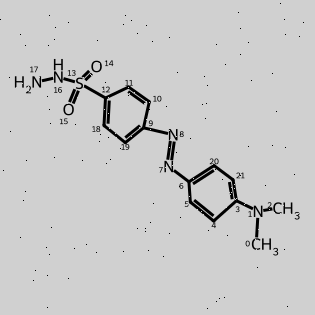 CN(C)c1ccc(N=Nc2ccc(S(=O)(=O)NN)cc2)cc1